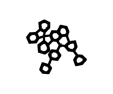 c1ccc(-c2ccc(N(c3cc(-c4ccccc4)ccc3-c3ccccc3)c3cccc4c3-c3ccccc3C43c4ccccc4-c4ccccc43)cc2)cc1